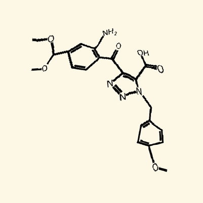 COc1ccc(Cn2nnc(C(=O)c3ccc(C(OC)OC)cc3N)c2C(=O)O)cc1